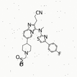 CN(c1nc(-c2ccc(F)cc2)cs1)c1c(CCC#N)nc2ccc(C3CCN(C[SH](=O)=O)CC3)cn12